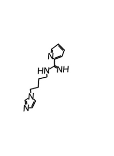 N=C(NCCCCn1ccnc1)c1ccccn1